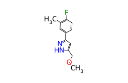 COCc1cc(-c2ccc(F)c(C)c2)n[nH]1